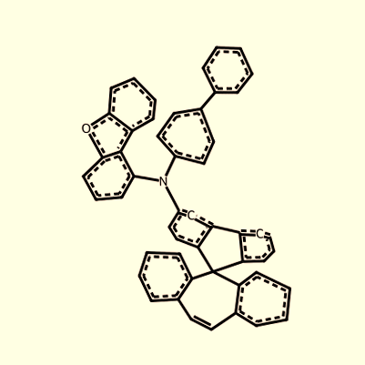 C1=Cc2ccccc2C2(c3ccccc31)c1ccccc1-c1cc(N(c3ccc(-c4ccccc4)cc3)c3cccc4oc5ccccc5c34)ccc12